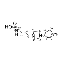 Cc1ccc(N2CCN(CCCCNC(=O)O)CC2)cc1